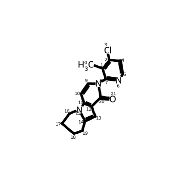 Cc1c(Cl)ccnc1-n1ccc2c(cc3n2CCCC3)c1=O